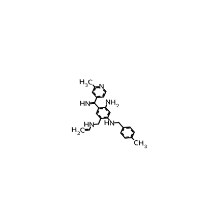 C=CNCc1cc(C(=N)c2ccnc(C)c2)c(N)cc1NCc1ccc(C)cc1